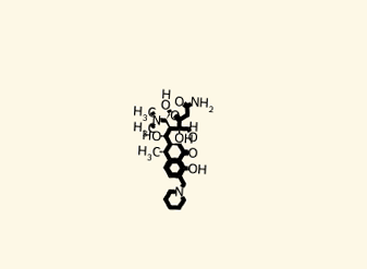 C[C@H]1c2ccc(CN3CCCCC3)c(O)c2C(=O)C[C@@H]1[C@H](O)[C@@H]([C@@H](CO)N(C)C)[C@](O)(CO)C(=O)CC(N)=O